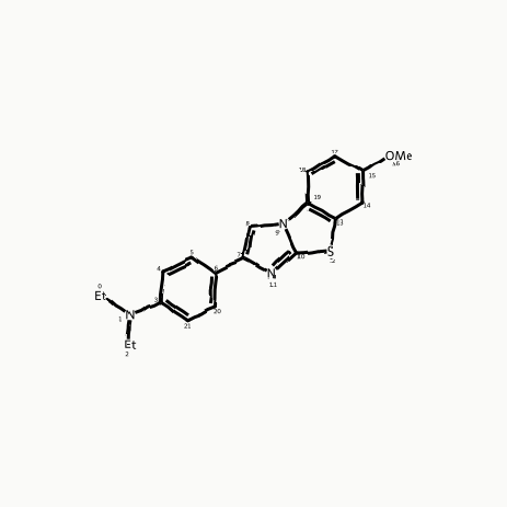 CCN(CC)c1ccc(-c2cn3c(n2)sc2cc(OC)ccc23)cc1